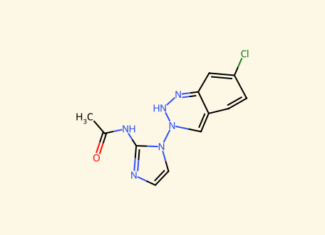 CC(=O)Nc1nccn1N1C=c2ccc(Cl)cc2=NN1